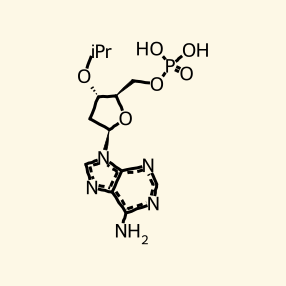 CC(C)O[C@H]1C[C@H](n2cnc3c(N)ncnc32)O[C@@H]1COP(=O)(O)O